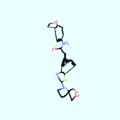 O=C(Nc1ccc2c(c1)CCO2)c1ccc2sc(N3CCC34COC4)nc2c1